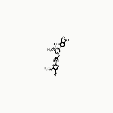 COc1nc(-n2ncc(CN3C[C@@H](c4ccc5c(c4C)COC5=O)N[C@@H](C)C3)n2)ncc1C#N